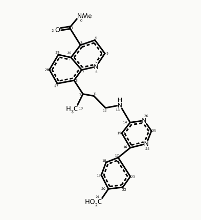 CNC(=O)c1ccnc2c(C(C)CCNc3cc(-c4ccc(C(=O)O)cc4)ncn3)cccc12